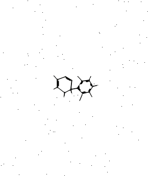 OC1=C(Cl)C=CC(O)(c2c(Cl)c(Cl)c(Cl)c(Cl)c2Cl)C1Cl